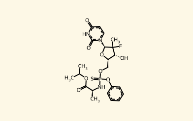 CC(C)OC(=O)[C@H](C)NP(=S)(OC[C@H]1O[C@@H](n2ccc(=O)[nH]c2=O)[C@](C)(F)[C@@H]1O)Oc1ccccc1